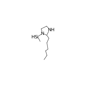 CCCCCCC1NCCN1[SiH](C)C